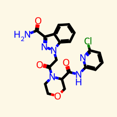 NC(=O)c1nn(CC(=O)N2CCOCC2C(=O)Nc2cccc(Cl)n2)c2ccccc12